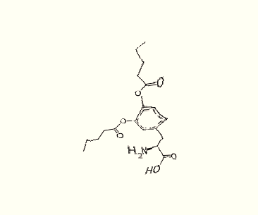 CCCCC(=O)Oc1ccc(C[C@H](N)C(=O)O)cc1OC(=O)CCCC